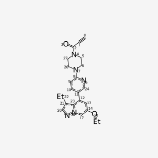 C#CC(=O)N1CCN(c2ccc(-c3cc(OCC)cn4ncc(CC)c34)cn2)CC1